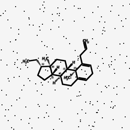 C=CCC1=CCC=C2CC[C@@H]3[C@H](CC[C@]4(C)[C@@H](CC)CC[C@@H]34)[C@@]12C